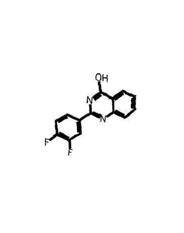 Oc1nc(-c2ccc(F)c(F)c2)nc2ccccc12